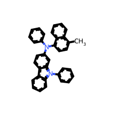 Cc1ccc(N(c2ccccc2)c2ccc3c4ccccc4n(-c4ccccc4)c3c2)c2ccccc12